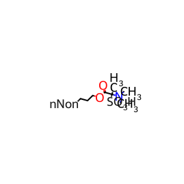 CCCCCCCCCCCCOC(=O)C(C)(N(C)C)S(=O)(=O)O